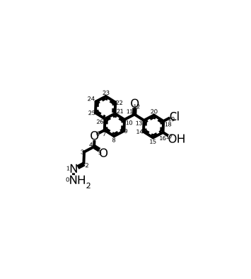 NN=CCC(=O)Oc1ccc(C(=O)c2ccc(O)c(Cl)c2)c2ccccc12